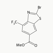 COC(=O)c1cc(C(F)(F)F)c2nc(Br)sc2c1